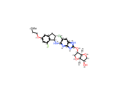 CSCCOc1cc(F)c2c(c1)CCC2Nc1nc2nc(O[C@@H]3CO[C@H]4[C@@H]3OC[C@H]4O)[nH]c2cc1Cl